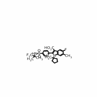 Cc1cc2c(cc1F)c(C(=O)O)c(-c1ccc(S(=O)(=O)NC(C)(C)C(F)(F)F)cn1)n2C1(C)CCCC1